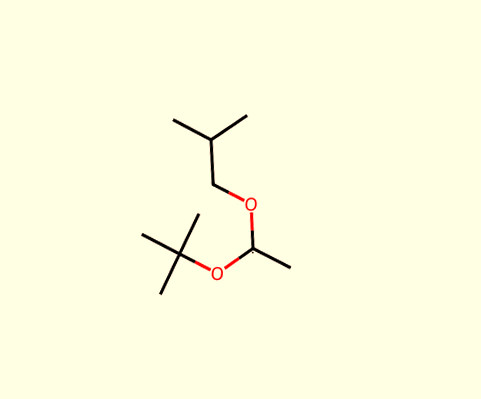 C[C](OCC(C)C)OC(C)(C)C